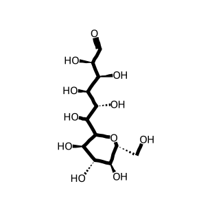 O=C[C@H](O)[C@@H](O)[C@H](O)[C@H](O)C(O)C1O[C@H](CO)[C@@H](O)[C@H](O)[C@H]1O